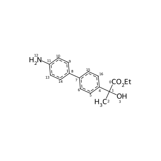 CCOC(=O)C(C)(O)c1ccc(-c2ccc(N)cc2)cc1